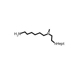 CCCCCCCCCN(C)CCCCCCN